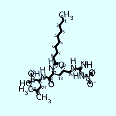 CCCCCCCCCC(=O)N[C@@H](CCCNC(=N)N[N+](=O)[O-])C(=O)N[C@@H](CC(C)C)B(O)O